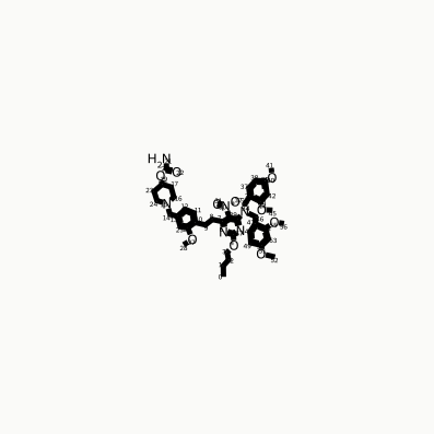 CCCCOc1nc(CCc2ccc(CN3CCC(OC(N)=O)CC3)cc2OC)c([N+](=O)[O-])c(N(Cc2ccc(OC)cc2OC)Cc2ccc(OC)cc2OC)n1